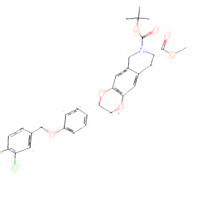 COC(=O)[C@@H]1Cc2cc3c(cc2CN1C(=O)OC(C)(C)C)O[C@@H](c1ccc(OCc2ccc(Cl)c(Cl)c2)cc1)CO3